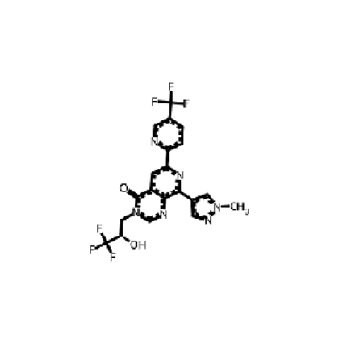 Cn1cc(-c2nc(-c3ccc(C(F)(F)F)cn3)cc3c(=O)n(C[C@@H](O)C(F)(F)F)cnc23)cn1